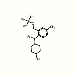 CC(C)C(c1ccc(C(F)(F)F)cc1CO[Si](C(C)C)(C(C)C)C(C)C)N1CCC(O)CC1